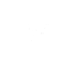 COC(=O)C(C)(C)[C@@H](O[Si](C)(C)C)c1cc(OC)cc(OC)c1